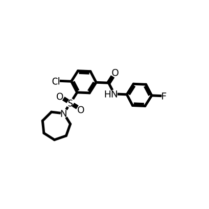 O=C(Nc1ccc(F)cc1)c1ccc(Cl)c(S(=O)(=O)N2CCCCCC2)c1